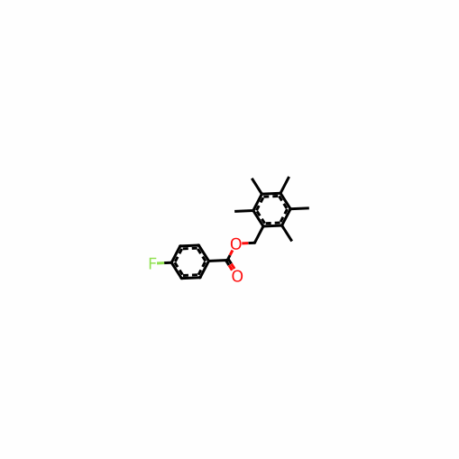 Cc1c(C)c(C)c(COC(=O)c2ccc(F)cc2)c(C)c1C